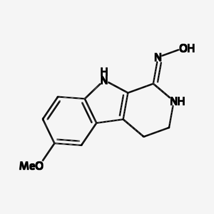 COc1ccc2[nH]c3c(c2c1)CCNC3=NO